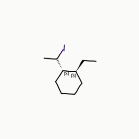 CC[C@H]1CCCC[C@@H]1C(C)I